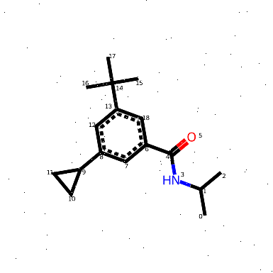 CC(C)NC(=O)c1cc(C2CC2)cc(C(C)(C)C)c1